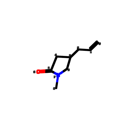 C=CCC1CC(=O)N(C)C1